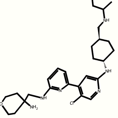 COCC(C)NC[C@H]1CC[C@H](Nc2cc(-c3cccc(NCC4(N)CCOCC4)n3)c(Cl)cn2)CC1